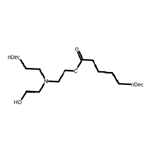 CCCCCCCCCCCCCCC(=O)OCCN(CCO)CCCCCCCCCCCC